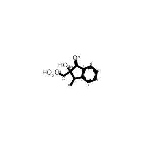 CC1c2ccccc2C(=O)C1(O)CC(=O)O